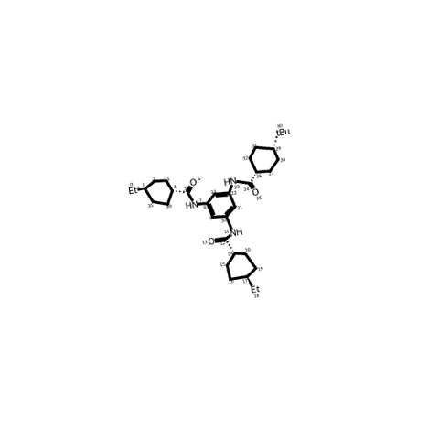 CC[C@H]1CC[C@H](C(=O)Nc2cc(NC(=O)[C@H]3CC[C@H](CC)CC3)cc(NC(=O)[C@H]3CC[C@@H](C(C)(C)C)CC3)c2)CC1